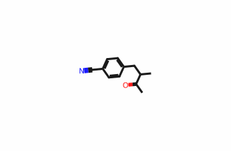 CC(=O)C(C)Cc1ccc(C#N)cc1